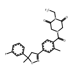 Cc1cc(C2=NOC(C)(c3cccc(F)c3)C2)ccc1C(=O)N1CC(=O)N(CC(F)(F)F)C(=O)C1